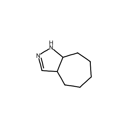 C1=NNC2CCCCCC12